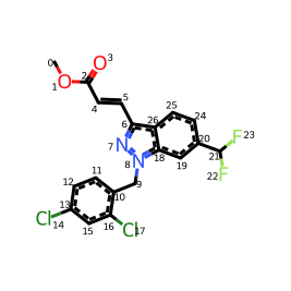 COC(=O)/C=C/c1nn(Cc2ccc(Cl)cc2Cl)c2cc(C(F)F)ccc12